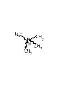 CCCCc1nc(CCCC)c(CCCC)nc1CCCC